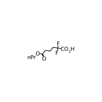 CCCOC(=O)CCCC(F)(F)C(=O)O